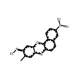 CC/N=c1/cc2oc3c(ccc4cc(N(CC)CC)ccc43)nc-2cc1C